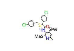 CSc1cc(C)nc(SC)c1NC(=O)C(SCc1ccc(Cl)cc1)c1ccc(Cl)cc1